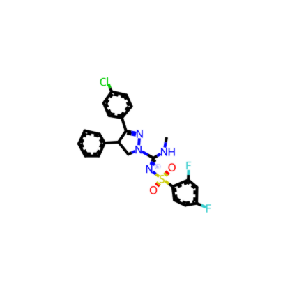 CN/C(=N\S(=O)(=O)c1ccc(F)cc1F)N1CC(c2ccccc2)C(c2ccc(Cl)cc2)=N1